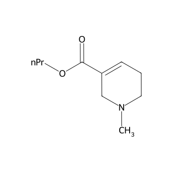 CCCOC(=O)C1=CCCN(C)C1